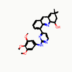 COc1cc(Nc2nccc(-c3cccc4c3=NC3C(=CC(C)(C)CC3O)C=4)n2)cc(OC)c1OC